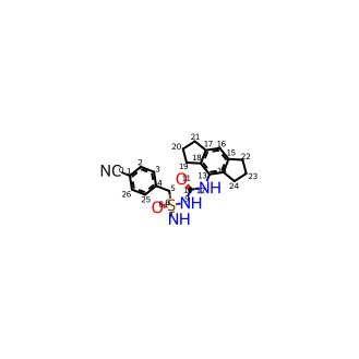 N#Cc1ccc(CS(=N)(=O)NC(=O)Nc2c3c(cc4c2CCC4)CCC3)cc1